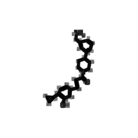 NCc1cccc(C2CCN(C(=O)C=Cc3ccc(C4CC4)c(O)c3)CC2)c1